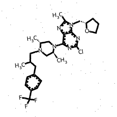 Cc1nc2c(N3C[C@@H](C)N(CC(C)Cc4ccc(C(F)(F)F)cc4)C[C@@H]3C)nc(Cl)nc2n1C[C@@H]1CCCO1